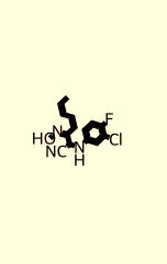 C\C=C/C=C\C(=N\O)C(C#N)Nc1ccc(F)c(Cl)c1